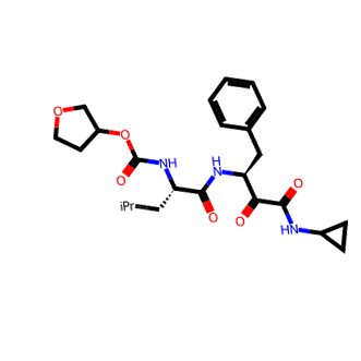 CC(C)C[C@H](NC(=O)OC1CCOC1)C(=O)N[C@@H](Cc1ccccc1)C(=O)C(=O)NC1CC1